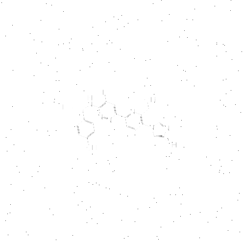 CCc1cc(-c2ccc(-n3cnc(C)c3)c(CO)n2)nnc1N[C@@H](C)c1ccc(C)cc1